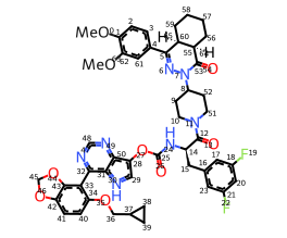 COc1ccc(C2=NN(C3CCN(C(=O)[C@@H](Cc4cc(F)cc(F)c4)NC(=O)Oc4c[nH]c5c(-c6c(OCC7CC7)ccc7c6OCO7)ncnc45)CC3)C(=O)[C@@H]3CCCC[C@H]23)cc1OC